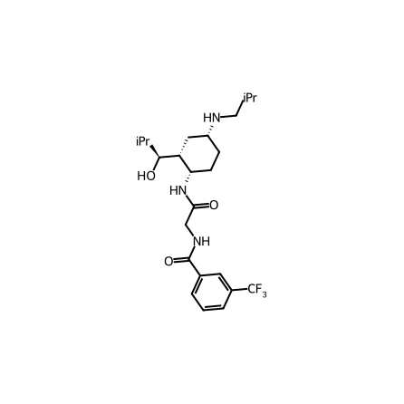 CC(C)CN[C@@H]1CC[C@H](NC(=O)CNC(=O)c2cccc(C(F)(F)F)c2)[C@H]([C@@H](O)C(C)C)C1